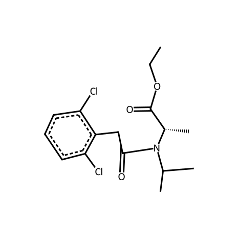 CCOC(=O)[C@H](C)N(C(=O)Cc1c(Cl)cccc1Cl)C(C)C